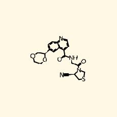 N#C[C@@H]1CSCN1C(=O)CNC(=O)c1ccnc2ccc([C@@H]3COCCO3)cc12